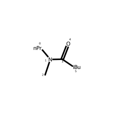 CCCN(C)C(=O)C(C)CC